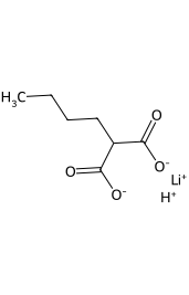 CCCCC(C(=O)[O-])C(=O)[O-].[H+].[Li+]